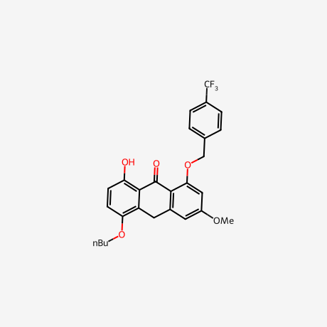 CCCCOc1ccc(O)c2c1Cc1cc(OC)cc(OCc3ccc(C(F)(F)F)cc3)c1C2=O